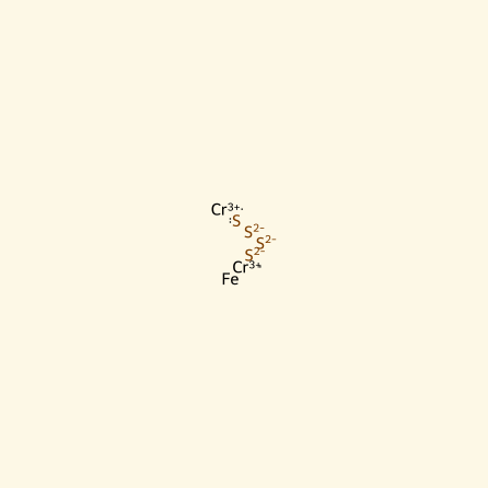 [Cr+3].[Cr+3].[Fe].[S-2].[S-2].[S-2].[S]